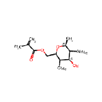 C=C(C)C(=O)OCC1O[C@@H](C)C(NC(C)=O)[C@@H](O)C1OC